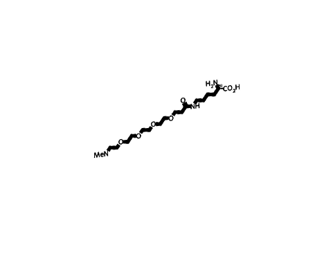 CNCCOCCOCCOCCOCCC(=O)NCCCC[C@H](N)C(=O)O